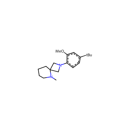 COc1cc(C(C)(C)C)ccc1N1CC2(CCCCN2C)C1